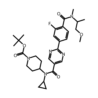 COCC(C)N(C)C(=O)c1ccc(-c2ncc(C(=O)N(C3CC3)C3CCN(C(=O)OC(C)(C)C)CC3)cn2)cc1F